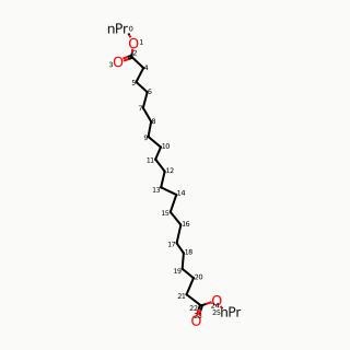 CCCOC(=O)CCCCCCCCCCCCCCCCCCC(=O)OCCC